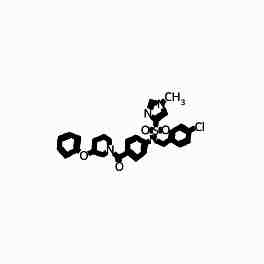 Cn1cnc(S(=O)(=O)N(Cc2ccc(Cl)cc2)c2ccc(C(=O)N3CCCC(Oc4ccccc4)C3)cc2)c1